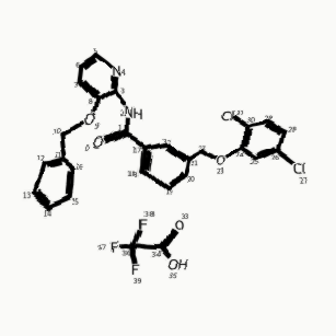 O=C(Nc1ncccc1OCc1ccccc1)c1cccc(COc2cc(Cl)ccc2Cl)c1.O=C(O)C(F)(F)F